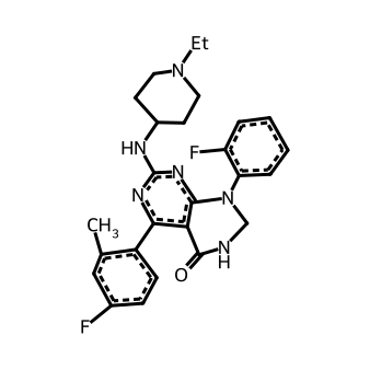 CCN1CCC(Nc2nc(-c3ccc(F)cc3C)c3c(n2)N(c2ccccc2F)CNC3=O)CC1